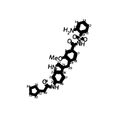 COc1cc(C(=O)NS(=O)(=O)c2ccccc2N)ccc1Cc1c[nH]c2cc(NC(=O)CC3CCCC3)ccc12